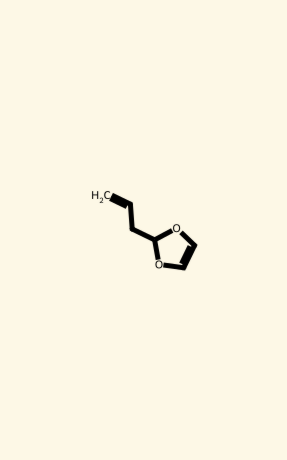 C=CCC1OC=CO1